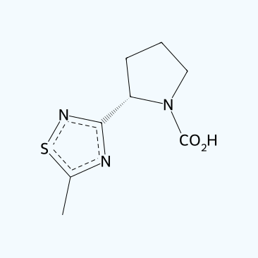 Cc1nc([C@@H]2CCCN2C(=O)O)ns1